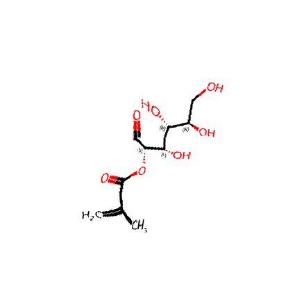 C=C(C)C(=O)O[C@H](C=O)[C@@H](O)[C@H](O)[C@H](O)CO